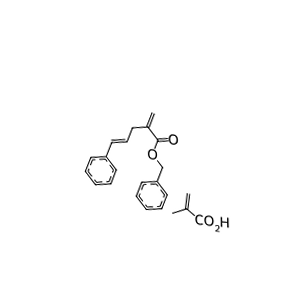 C=C(C)C(=O)O.C=C(CC=Cc1ccccc1)C(=O)OCc1ccccc1